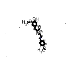 COc1ccc(/C=C/C2=NC(=Cc3ccc(O)c(OC)c3)C(=O)O2)cc1